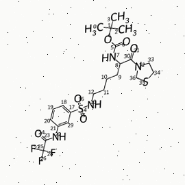 CC(C)(C)OC(=O)NC(CCCCNS(=O)(=O)c1cccc(NC(=O)C(F)(F)F)c1)C(=O)N1CCSC1